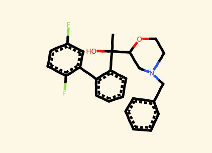 CC(O)(c1ccccc1-c1cc(F)ccc1F)C1CN(Cc2ccccc2)CCO1